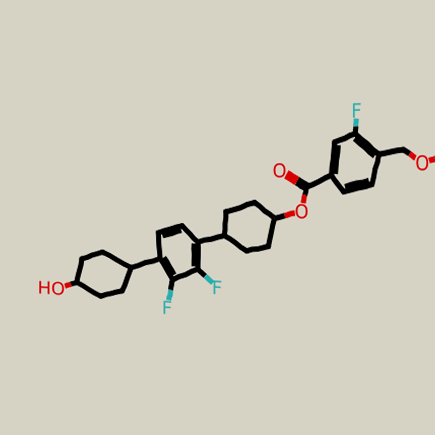 CCOCc1ccc(C(=O)OC2CCC(c3ccc(C4CCC(O)CC4)c(F)c3F)CC2)cc1F